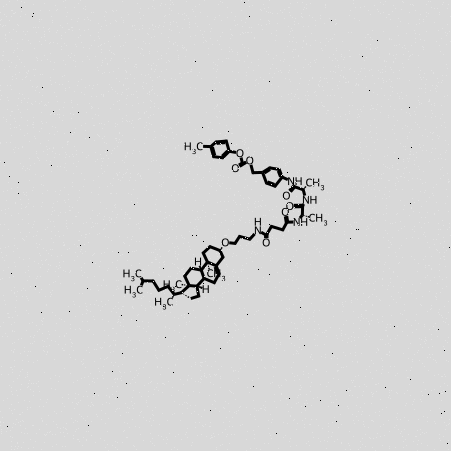 Cc1ccc(OC(=O)OCc2ccc(NC(=O)[C@H](C)NC(=O)[C@H](C)NC(=O)CCC(=O)NCCCO[C@H]3CC[C@@]4(C)C(=CCC5[C@@H]6CC[C@H]([C@H](C)CCCC(C)C)[C@@]6(C)CC[C@@H]54)C3)cc2)cc1